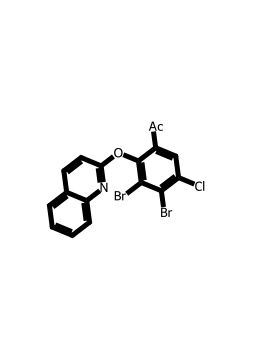 CC(=O)c1cc(Cl)c(Br)c(Br)c1Oc1ccc2ccccc2n1